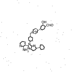 Nc1ncccc1-c1nc2ccc(-c3ccccc3)nc2n1-c1ccc(CN2CC3CCC2CN3c2ccc(C=O)c(O)c2)cc1